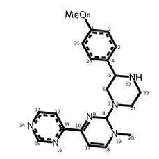 COc1ccc(C2CN(C3N=C(c4ccncn4)C=CN3C)CCN2)cc1